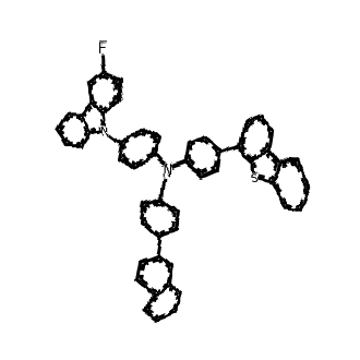 Fc1ccc2c(c1)c1ccccc1n2-c1ccc(N(c2ccc(-c3ccc4ccccc4c3)cc2)c2ccc(-c3cccc4c3sc3ccccc34)cc2)cc1